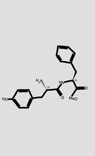 COC(=O)[C@H](Cc1ccccc1)NC(=O)[C@@H](N)Cc1ccc(O)cc1